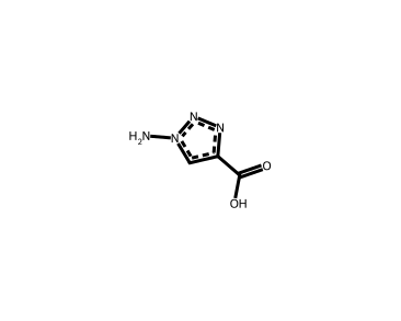 Nn1cc(C(=O)O)nn1